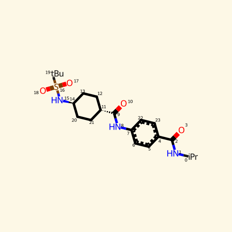 CC(C)NC(=O)c1ccc(NC(=O)[C@H]2CC[C@H](NS(=O)(=O)C(C)(C)C)CC2)cc1